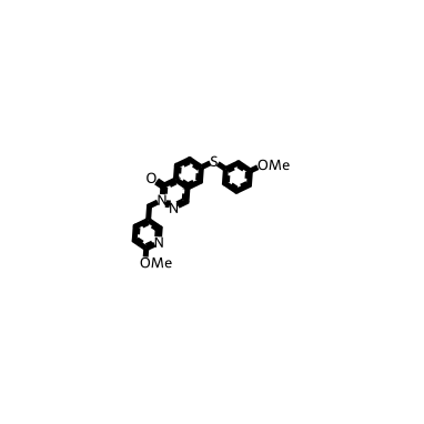 COc1cccc(Sc2ccc3c(=O)n(Cc4ccc(OC)nc4)ncc3c2)c1